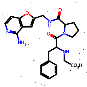 Nc1nccc2oc(CNC(=O)C3CCCN3C(=O)C(Cc3ccccc3)NCC(=O)O)cc12